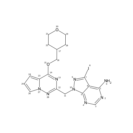 Nc1ncnc2c1c(I)nn2Cc1nc(OCC2CCOCC2)c2cccn2n1